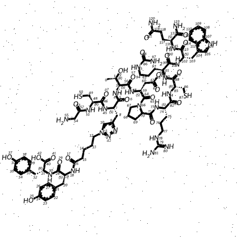 C[C@@H](O)[C@H](NC(=O)[C@H](Cc1cn(CCCCC(=O)N[C@@H](Cc2ccc(O)cc2)C(=O)N[C@H](Cc2ccc(O)cc2)C(=O)O)nn1)NC(=O)[C@H](CS)NC(=O)CN)C(=O)N[C@@H](CC(=O)O)C(=O)N1CCCC1C(=O)N[C@@H](CCCNC(=N)N)C(=O)N[C@@H](CS)C(=O)N[C@@H](CCCNC(N)=O)C(=O)N[C@@H](Cc1c[nH]c2ccccc12)C(=O)N[C@@H](CCC(N)=O)C(N)=O